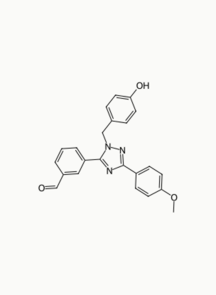 COc1ccc(-c2nc(-c3cccc(C=O)c3)n(Cc3ccc(O)cc3)n2)cc1